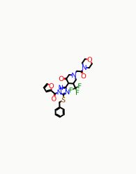 O=C1CN(CC(=O)N2CCOCC2)CC(C(F)(F)F)C1c1nc(SCc2ccccc2)n(C(=O)c2ccco2)n1